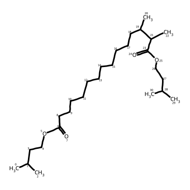 CC(C)CCOC(=O)CCCCCCCCCCCC(C)C(C)C(=O)OCCC(C)C